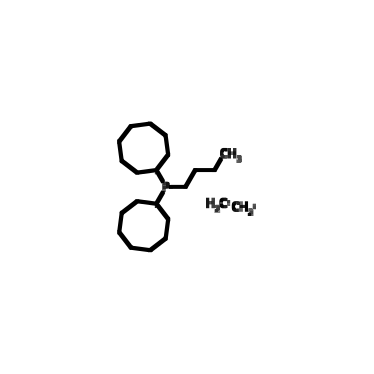 CCCCP([C]1CCCCCCC1)[C]1CCCCCCC1.[CH2].[CH2]